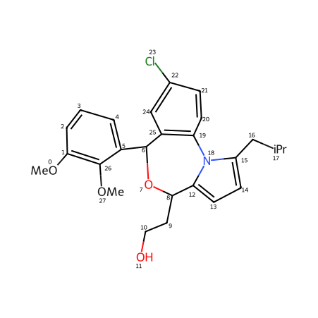 COc1cccc(C2OC(CCO)c3ccc(CC(C)C)n3-c3ccc(Cl)cc32)c1OC